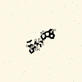 CC[C@@]1(NC(=O)[C@@H]2C=C3c4cccc5[nH]cc(c45)C[C@H]3N(C)C2)O[C@@]2(O)[C@@H]3CCCN3C(=O)[C@H](C(C)C)N2C1=O